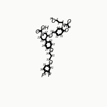 COCCCN1C(=O)COc2ccc(COC3CN(C(=O)O)CCC3c3ccc(OCCCOc4ccc(F)c(F)c4)cc3)cc21